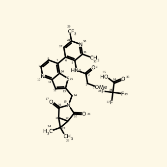 COCC(=O)Nc1c(-c2ccnc3cc(CN4C(=O)C5C(C4=O)C5(C)C)sc23)cc(C(F)(F)F)nc1C.O=C(O)C(F)(F)F